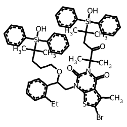 CCc1ccccc1C(Cn1c(=O)n(C(C)(C)C(=O)CC(C)(C)[Si](O)(c2ccccc2)c2ccccc2)c(=O)c2c(C)c(Br)sc21)OCCCC(C)(C)[Si](O)(c1ccccc1)c1ccccc1